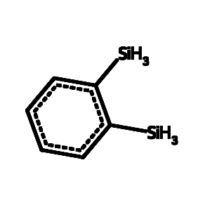 [SiH3]c1ccccc1[SiH3]